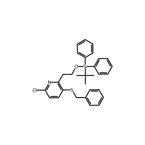 CC(C)(C)[Si](OCCc1nc(Cl)ccc1SCc1ccccc1)(c1ccccc1)c1ccccc1